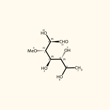 CO[C@@H]([C@H](O)[C@H](O)C(C)O)[C@@H](O)C=O